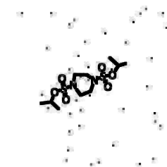 CC(C)OS(=O)(=O)N1CCN(S(=O)(=O)OC(C)C)CC1